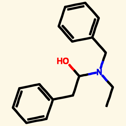 CCN(Cc1ccccc1)C(O)Cc1ccccc1